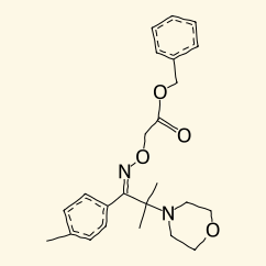 Cc1ccc(/C(=N/OCC(=O)OCc2ccccc2)C(C)(C)N2CCOCC2)cc1